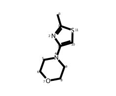 Cc1nc(N2CCOCC2)cs1